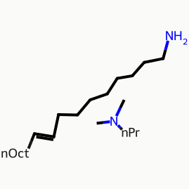 CCCCCCCCC=CCCCCCCCCN.CCCN(C)C